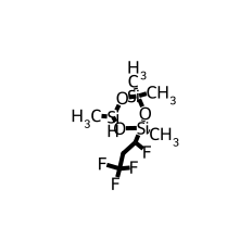 C[SiH]1O[Si](C)(C)O[Si](C)(C(F)CC(F)(F)F)O1